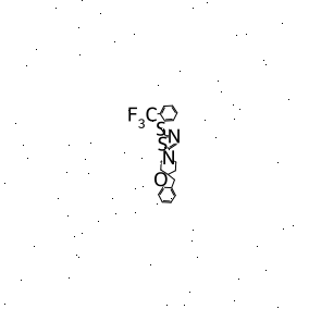 FC(F)(F)c1ccccc1Sc1ncc(N2CCC3(CC2)Cc2ccccc2O3)s1